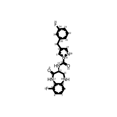 O=C1Nc2c(F)cccc2NC[C@@H]1NC(=O)n1cc(Cc2cccc(F)c2)cn1